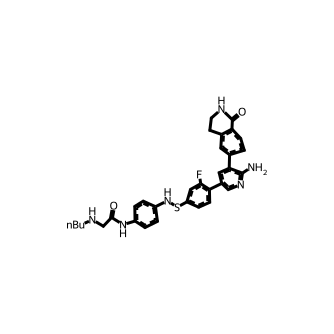 CCCCNCC(=O)Nc1ccc(NSc2ccc(-c3cnc(N)c(-c4ccc5c(c4)CCNC5=O)c3)c(F)c2)cc1